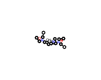 CC1(C)c2cc(N(c3ccc(C4CCCCC4)cc3)c3cccc4c3oc3ccccc34)ccc2-c2ccc3cc4c5ccc(N(c6ccc(C7CCCCC7)cc6)c6cccc7c6oc6ccccc67)c6c7ccccc7n(c4cc3c21)c56